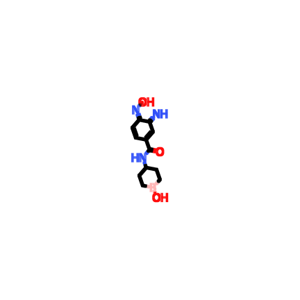 N=C1C=C(C(=O)NC2CCB(O)CC2)C=C/C1=N/O